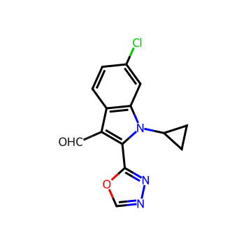 O=Cc1c(-c2nnco2)n(C2CC2)c2cc(Cl)ccc12